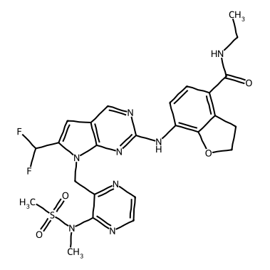 CCNC(=O)c1ccc(Nc2ncc3cc(C(F)F)n(Cc4nccnc4N(C)S(C)(=O)=O)c3n2)c2c1CCO2